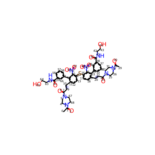 CC(=O)N1CCN(C(=O)/C=C/c2ccc(Sc3ccc(/C=C/C(=O)N4CCN(C(C)=O)CC4)c(-c4cccc(C(=O)NCCO)c4)c3[N+](=O)[O-])c([N+](=O)[O-])c2-c2cccc(C(=O)NCCO)c2)CC1